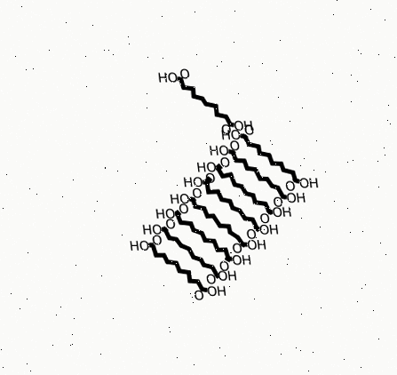 O=C(O)CCCCCCCCC(=O)O.O=C(O)CCCCCCCCC(=O)O.O=C(O)CCCCCCCCC(=O)O.O=C(O)CCCCCCCCC(=O)O.O=C(O)CCCCCCCCC(=O)O.O=C(O)CCCCCCCCC(=O)O.O=C(O)CCCCCCCCC(=O)O.O=C(O)CCCCCCCCC(=O)O.O=C(O)CCCCCCCCC(=O)O